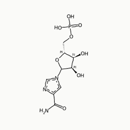 NC(=O)c1cn(C2O[C@H](COP(=O)(O)O)[C@@H](O)[C@H]2O)cn1